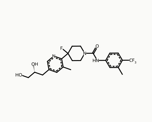 Cc1cc(NC(=O)N2CCC(F)(c3ncc(C[C@@H](O)CO)cc3C)CC2)ccc1C(F)(F)F